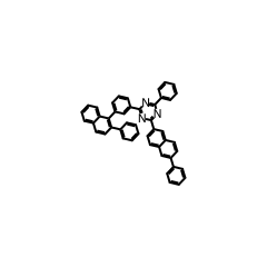 c1ccc(-c2ccc3cc(-c4nc(-c5ccccc5)nc(-c5cccc(-c6c(-c7ccccc7)ccc7ccccc67)c5)n4)ccc3c2)cc1